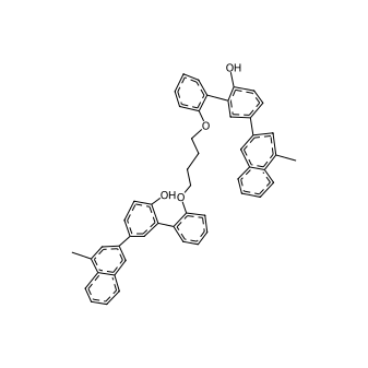 Cc1cc(-c2ccc(O)c(-c3ccccc3OCCCCOc3ccccc3-c3cc(-c4cc(C)c5ccccc5c4)ccc3O)c2)cc2ccccc12